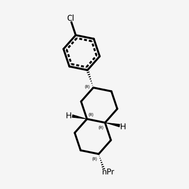 CCC[C@@H]1CC[C@@H]2C[C@H](c3ccc(Cl)cc3)CC[C@@H]2C1